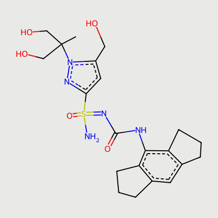 CC(CO)(CO)n1nc(S(N)(=O)=NC(=O)Nc2c3c(cc4c2CCC4)CCC3)cc1CO